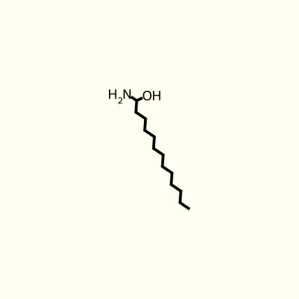 CCCCCCCCCCCCC(N)O